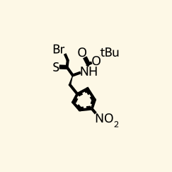 CC(C)(C)OC(=O)N[C@@H](Cc1ccc([N+](=O)[O-])cc1)C(=S)CBr